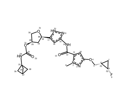 Cn1nc(OC[C@@H]2C[C@@H]2F)cc1C(=O)Nc1cc([C@H]2C[C@@H](OC(=O)NC34CC(C3)C4)CO2)[nH]n1